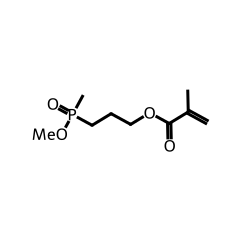 C=C(C)C(=O)OCCCP(C)(=O)OC